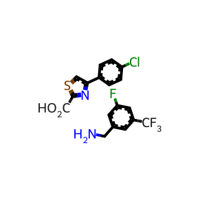 NCc1cc(F)cc(C(F)(F)F)c1.O=C(O)c1nc(-c2ccc(Cl)cc2)cs1